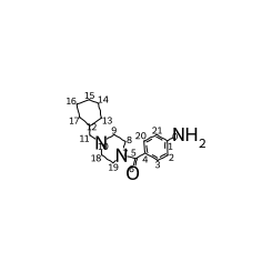 Nc1ccc(C(=O)N2CCN(CC3CCCCC3)CC2)cc1